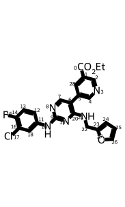 CCOC(=O)c1cncc(-c2cnc(Nc3ccc(F)c(Cl)c3)nc2NCc2ccco2)c1